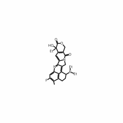 CCN(CC)C1CCc2c(C)c(F)cc3nc4c(c1c23)Cn1c-4cc2c(c1=O)COC(=O)C2(O)CC